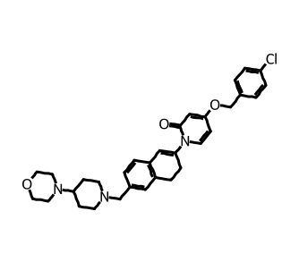 O=c1cc(OCc2ccc(Cl)cc2)ccn1C1=Cc2ccc(CN3CCC(N4CCOCC4)CC3)cc2CC1